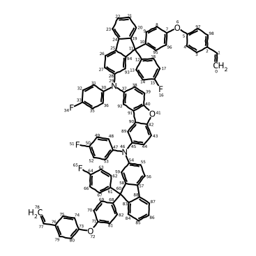 C=Cc1ccc(Oc2ccc(C3(c4ccc(F)cc4)c4ccccc4-c4ccc(N(c5ccc(F)cc5)c5ccc6oc7ccc(N(c8ccc(F)cc8)c8ccc9c(c8)C(c8ccc(F)cc8)(c8ccc(Oc%10ccc(C=C)cc%10)cc8)c8ccccc8-9)cc7c6c5)cc43)cc2)cc1